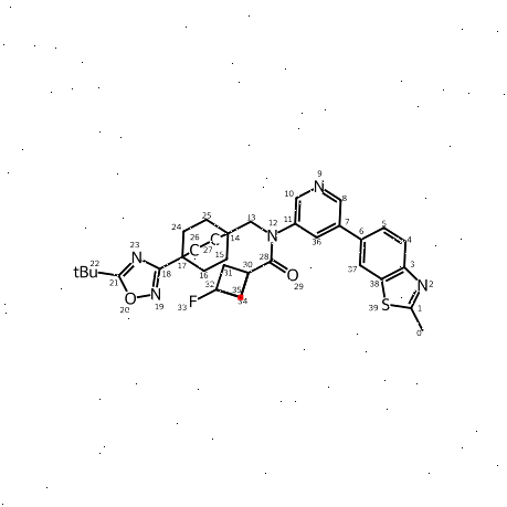 Cc1nc2ccc(-c3cncc(N(CC45CCC(c6noc(C(C)(C)C)n6)(CC4)CC5)C(=O)C45CC(F)(C4)C5)c3)cc2s1